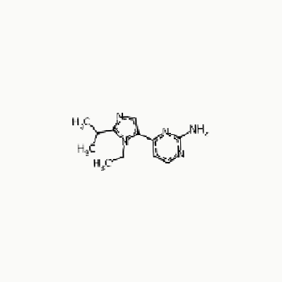 CCn1c(-c2ccnc(N)n2)cnc1C(C)C